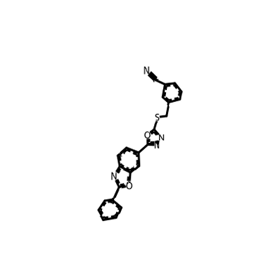 N#Cc1cccc(CSc2nnc(-c3ccc4nc(-c5ccccc5)oc4c3)o2)c1